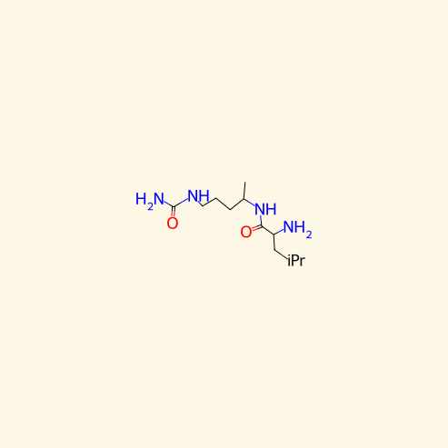 CC(C)CC(N)C(=O)NC(C)CCCNC(N)=O